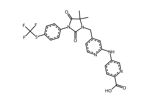 CC1(C)C(=O)N(c2ccc(SC(F)(F)F)cc2)C(=O)N1Cc1ccnc(Nc2ccc(C(=O)O)nc2)c1